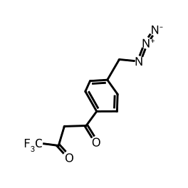 [N-]=[N+]=NCc1ccc(C(=O)CC(=O)C(F)(F)F)cc1